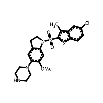 COc1cc2c(cc1N1CCNCC1)CCN2S(=O)(=O)c1sc2ccc(Cl)cc2c1C